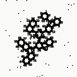 c1ccc(-n2c3ccccc3c3ccc(C4=NC(c5cccc6ccccc56)NC(c5cc(-n6c7cc8ccccc8cc7c7c8ccccc8ccc76)cc6oc7ccccc7c56)=N4)cc32)cc1